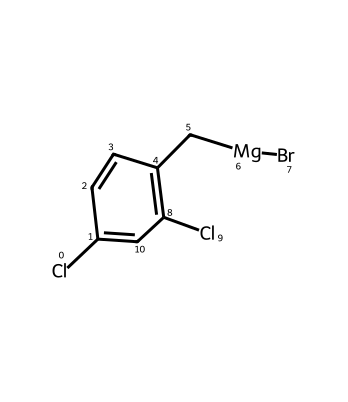 Clc1ccc([CH2][Mg][Br])c(Cl)c1